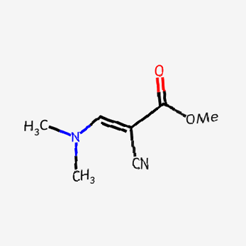 COC(=O)/C(C#N)=C/N(C)C